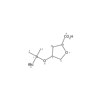 CC(C)(C)[Si](C)(C)OC1COC(C(=O)O)C1